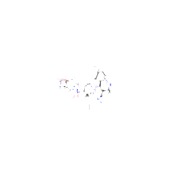 Cc1nc2ccc(Cl)cc2c(N2CC[C@H](C(=O)N3CCc4oncc4C3)[C@H](C)C2)c1C#N